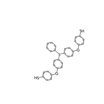 Sc1ccc(Oc2ccc([S+](c3ccccc3)c3ccc(Oc4ccc(S)cc4)cc3)cc2)cc1